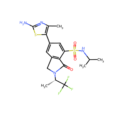 Cc1nc(N)sc1-c1cc2c(c(S(=O)(=O)NC(C)C)c1)C(=O)N([C@@H](C)C(F)(F)F)C2